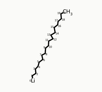 [Li][CH2]CCCCCCCCCCCCCCCCCCC